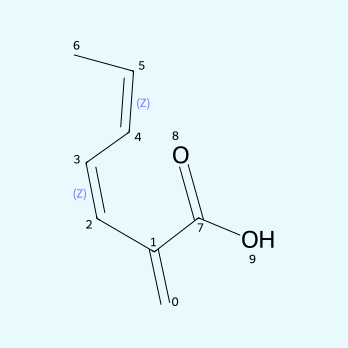 C=C(/C=C\C=C/C)C(=O)O